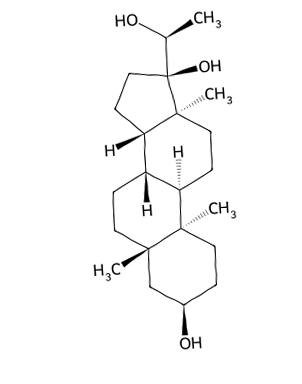 C[C@H](O)[C@@]1(O)CC[C@H]2[C@H]3CC[C@@]4(C)C[C@H](O)CC[C@]4(C)[C@@H]3CC[C@@]21C